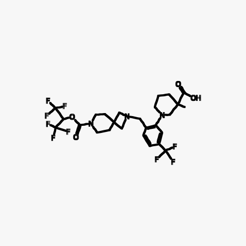 CC1(C(=O)O)CCCN(c2cc(C(F)(F)F)ccc2CN2CC3(CCN(C(=O)OC(C(F)(F)F)C(F)(F)F)CC3)C2)C1